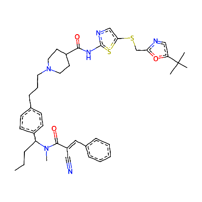 CCCC(c1ccc(CCCN2CCC(C(=O)Nc3ncc(SCc4ncc(C(C)(C)C)o4)s3)CC2)cc1)N(C)C(=O)/C(C#N)=C/c1ccccc1